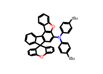 CC(C)(C)c1ccc(N(c2ccc(C(C)(C)C)cc2)c2cc3c(c4c2oc2ccccc24)-c2ccccc2C32c3ccccc3Oc3ccccc32)cc1